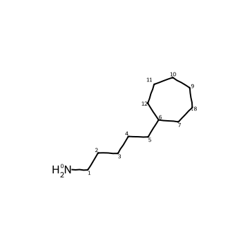 NCCCCCC1C[CH]CCCC1